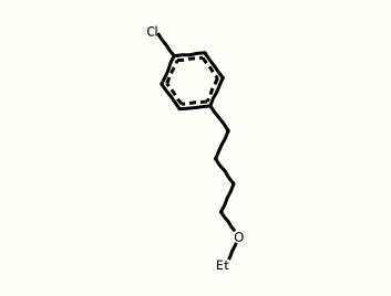 [CH2]COCCCCc1ccc(Cl)cc1